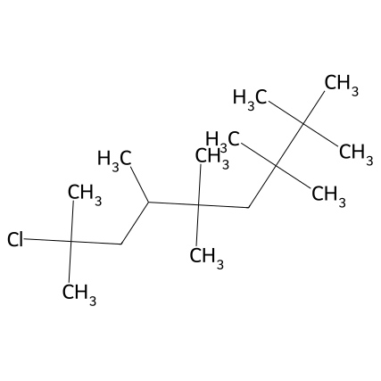 CC(CC(C)(C)Cl)C(C)(C)CC(C)(C)C(C)(C)C